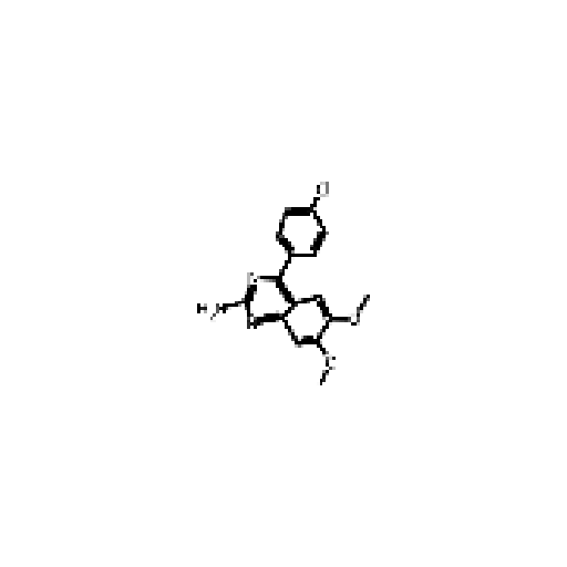 COc1cc2nc(N)nc(-c3ccc(Cl)cc3)c2cc1OC